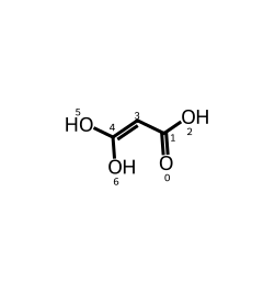 O=C(O)C=C(O)O